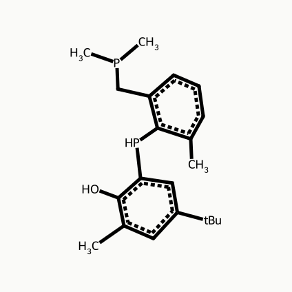 Cc1cc(C(C)(C)C)cc(Pc2c(C)cccc2CP(C)C)c1O